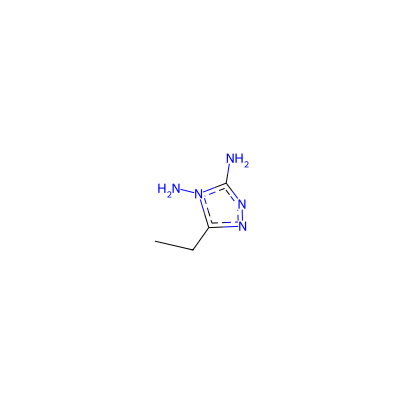 CCc1nnc(N)n1N